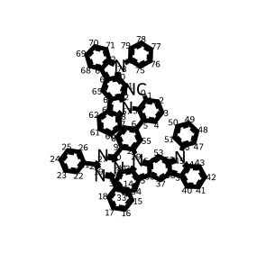 N#Cc1cccc(-c2ccc(-c3nc(-c4ccccc4)nc(-c4ccccc4)n3)c(-n3c4ccccc4c4cc5c6ccccc6n(-c6ccccc6)c5cc43)c2)c1-n1c2ccccc2c2cc3c4ccccc4n(-c4ccccc4)c3cc21